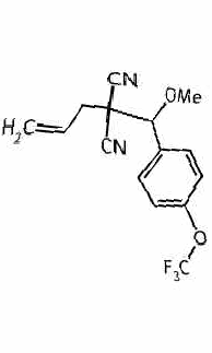 C=CCC(C#N)(C#N)C(OC)c1ccc(OC(F)(F)F)cc1